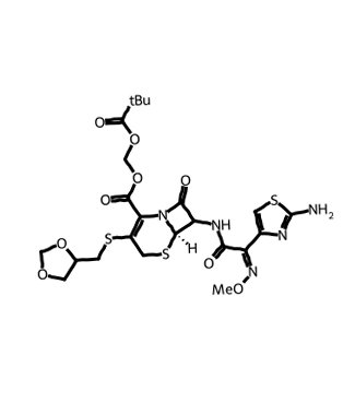 CO/N=C(\C(=O)NC1C(=O)N2C(C(=O)OCOC(=O)C(C)(C)C)=C(SCC3COCO3)CS[C@H]12)c1csc(N)n1